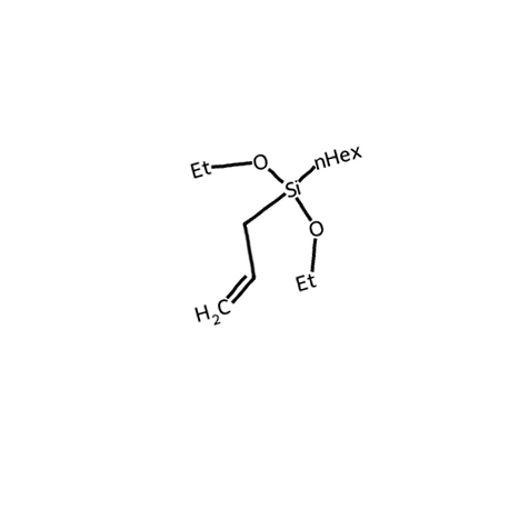 C=CC[Si](CCCCCC)(OCC)OCC